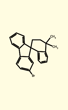 CC1(C)CCC2(c3ccccc3-c3ccc(Br)cc32)c2ccccc21